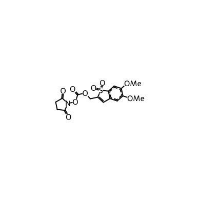 COc1cc2c(cc1OC)S(=O)(=O)C(COC(=O)ON1C(=O)CCC1=O)=C2